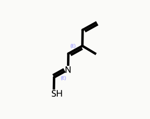 C=C/C(C)=C/N=C/S